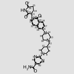 NC(=O)c1cnc(N2CCC(CN3CCN(c4ccc5c(=O)n(C6CCC(=O)NC6=O)ncc5c4)CC3)CC2)nc1